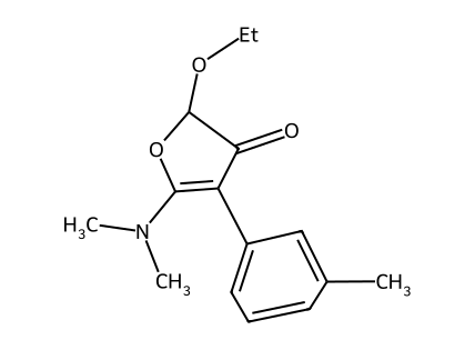 CCOC1OC(N(C)C)=C(c2cccc(C)c2)C1=O